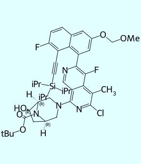 COCOc1cc(-c2ncc3c(N4C[C@H]5C[C@@H](O)[C@@H](C4)N5C(=O)OC(C)(C)C)nc(Cl)c(C)c3c2F)c2c(C#C[Si](C(C)C)(C(C)C)C(C)C)c(F)ccc2c1